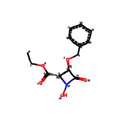 CCOC(=O)[C@@H]1[C@@H](OCc2ccccc2)C(=O)N1O